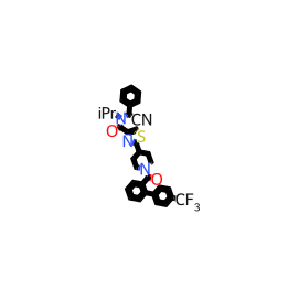 CC(C)N(C(=O)c1csc(C2CCN(C(=O)c3ccccc3-c3ccc(C(F)(F)F)cc3)CC2)n1)C(C#N)c1ccccc1